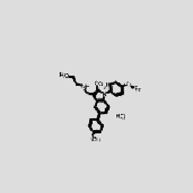 CC(C)Oc1ccc(-n2c(C(=O)O)c(CNCCO)c3cc(-c4ccc(C(C)(C)C)cc4)ccc32)cc1.Cl